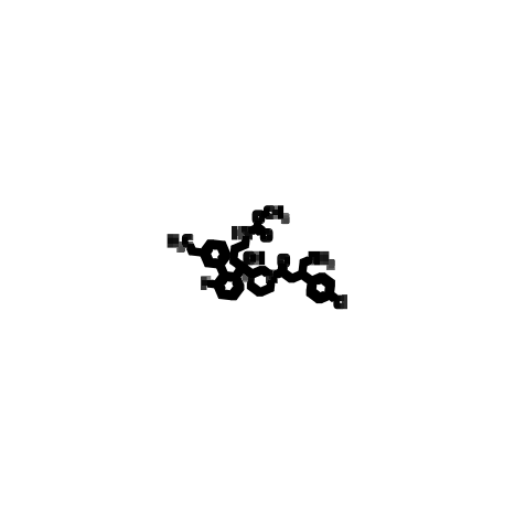 CCc1cccc(-c2c(F)cccc2[C@](O)(CCCNC(=O)OC)[C@@H]2CCCN(C(=O)CC(CN)c3ccc(Cl)cc3)C2)c1